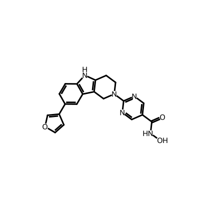 O=C(NO)c1cnc(N2CCc3[nH]c4ccc(-c5ccoc5)cc4c3C2)nc1